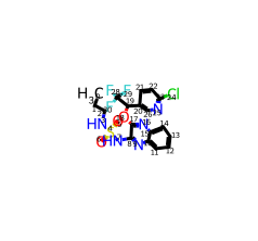 CCCNS(=O)(=O)Nc1nc2ccccc2nc1OC(c1ccc(Cl)nc1)C(F)(F)F